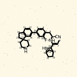 C/C=C(\N[C@H](C#N)Cc1ccc(-c2ccc3c(c2)C2(CCNCC2)CC3)cc1F)C1NC2CCC1C2